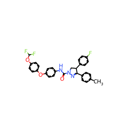 Cc1ccc(C2=NN(C(=O)Nc3ccc(Oc4ccc(OC(F)F)cc4)cc3)CC2c2ccc(F)cc2)cc1